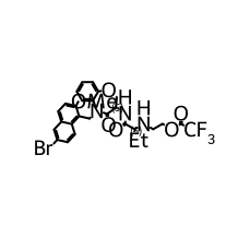 CC[C@H](NCCOC(=O)C(F)(F)F)C(=O)N[C@H]1COc2ccccc2N(Cc2c(OC)ccc3cc(Br)ccc23)C1=O